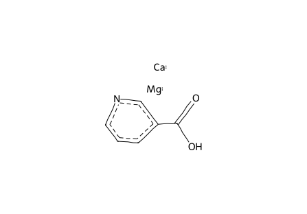 O=C(O)c1cccnc1.[Ca].[Mg]